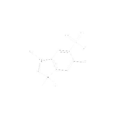 CC(=O)N1CC(C)(C)c2cc(F)c(S(=O)(=O)Cl)cc21